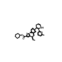 C=c1ccc(C2=C(c3cccc(C)n3)NC=CC2)c/c1=C/C(=C\C)c1csc(C(=O)OC2CCCCC2)c1